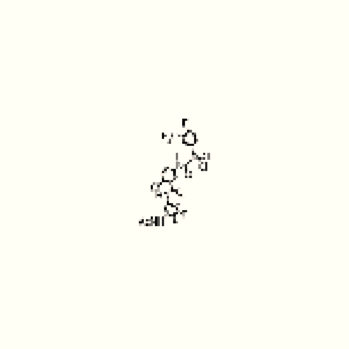 CC(=O)Nc1cc(NC(=O)c2cc(NC(=O)[C@H]3[C@H](c4ccc(F)c(C(F)(F)F)c4)C3(Cl)Cl)ccc2Cl)c(F)c(F)c1F